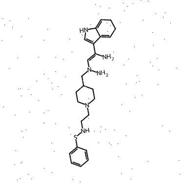 N/C(=C\N(N)CC1CCN(CCNSc2ccccc2)CC1)c1c[nH]c2c1=CCCC=2